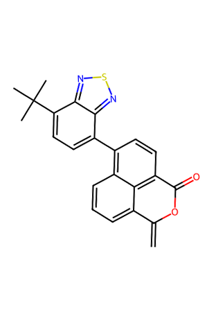 C=c1oc(=O)c2ccc(-c3ccc(C(C)(C)C)c4nsnc34)c3cccc1c32